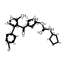 Cc1onc(-c2ccc(F)cc2)c1C(=O)c1c[nH]c(OC(=O)NC2CCCC2)c1